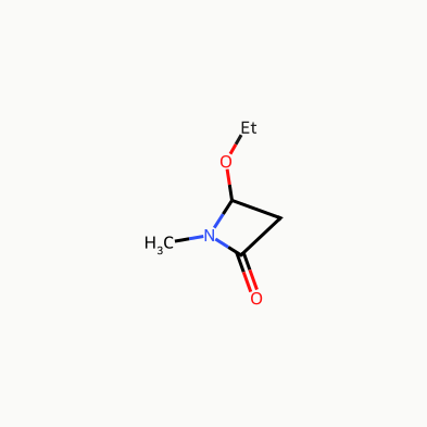 CCOC1CC(=O)N1C